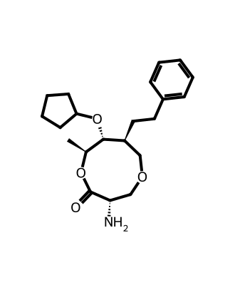 C[C@@H]1OC(=O)[C@@H](N)COC[C@H](CCc2ccccc2)[C@H]1OC1CCCC1